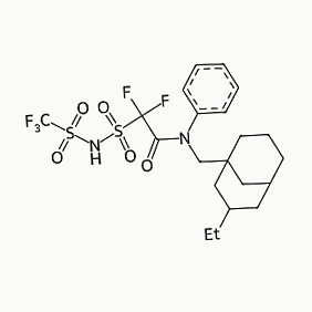 CCC1CC2CCCC(CN(C(=O)C(F)(F)S(=O)(=O)NS(=O)(=O)C(F)(F)F)c3ccccc3)(C1)C2